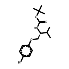 CC(C)[C@@H](COc1ccc(Br)cc1)NC(=O)OC(C)(C)C